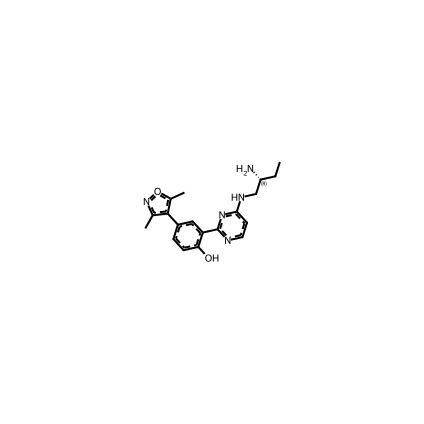 CC[C@@H](N)CNc1ccnc(-c2cc(-c3c(C)noc3C)ccc2O)n1